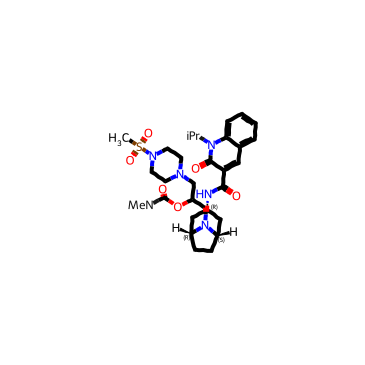 CNC(=O)OC(CN1CCN(S(C)(=O)=O)CC1)CN1[C@@H]2CC[C@H]1C[C@@H](NC(=O)c1cc3ccccc3n(C(C)C)c1=O)C2